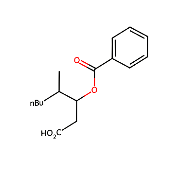 CCCCC(C)C(CC(=O)O)OC(=O)c1ccccc1